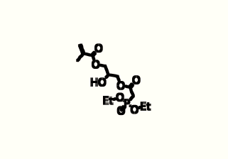 C=C(C)C(=O)OCC(O)COC(=O)CP(=O)(OCC)OCC